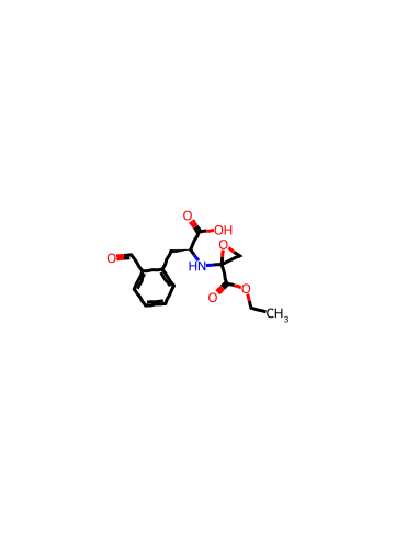 CCOC(=O)C1(N[C@@H](Cc2ccccc2C=O)C(=O)O)CO1